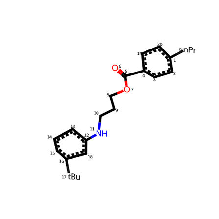 CCCc1ccc(C(=O)OCCCNc2cccc(C(C)(C)C)c2)cc1